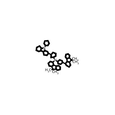 CC1(C)c2ccccc2-c2c(-c3ccc(N(c4cccc(-c5ccc6c7ccccc7n(-c7ccccc7)c6c5)c4)c4cccc5c4-c4ccccc4C5(C)C)cc3)cccc21